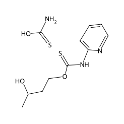 CC(O)CCOC(=S)Nc1ccccn1.NC(O)=S